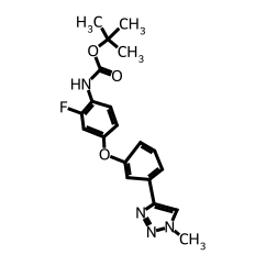 Cn1cc(-c2cccc(Oc3ccc(NC(=O)OC(C)(C)C)c(F)c3)c2)nn1